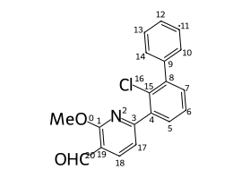 COc1nc(-c2cccc(-c3c[c]ccc3)c2Cl)ccc1C=O